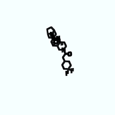 CN1CC2CCC(C1)N2c1ccc2c(n1)CCN(C(=O)CC1CCC(F)(F)CC1)C2